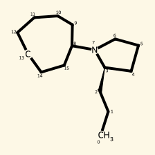 CCC[C@@H]1CCCN1C1CCCCCCC1